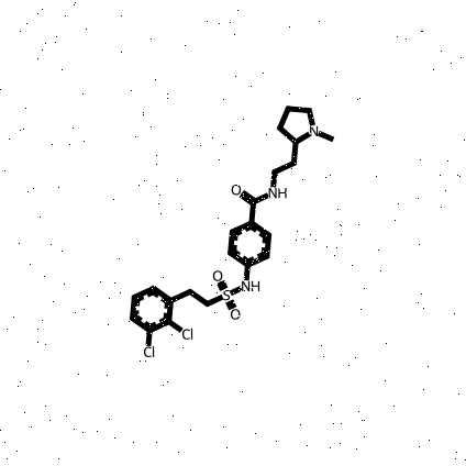 CN1CCCC1CCNC(=O)c1ccc(NS(=O)(=O)CCc2cccc(Cl)c2Cl)cc1